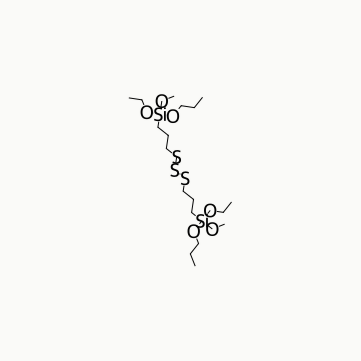 CCCO[Si](CCCSSSCCC[Si](OC)(OCC)OCCC)(OC)OCC